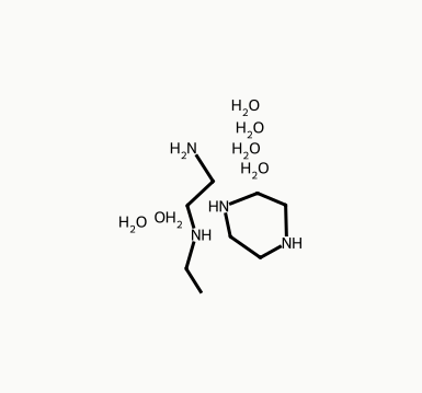 C1CNCCN1.CCNCCN.O.O.O.O.O.O